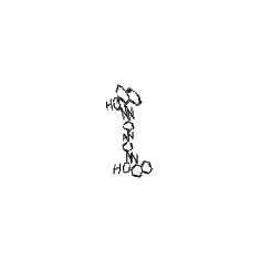 Oc1ccc2ccccc2c1N=Nc1ccc(N=Nc2ccc(N=Nc3c(O)ccc4ccccc34)cc2)cc1